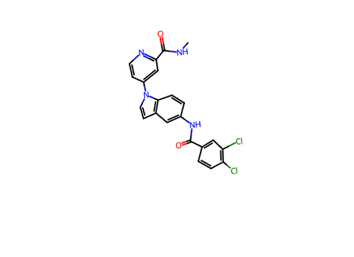 CNC(=O)c1cc(-n2ccc3cc(NC(=O)c4ccc(Cl)c(Cl)c4)ccc32)ccn1